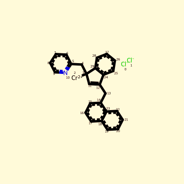 [Cl-].[Cl-].[Cr+2][C]1(Cc2ccccn2)C=C(Cc2cccc3ccccc23)c2ccccc21